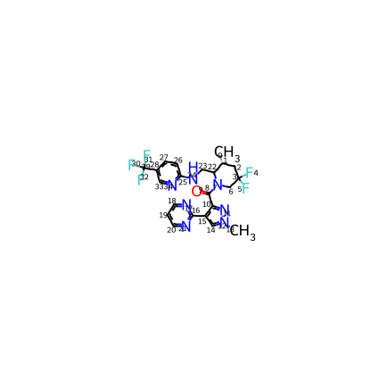 C[C@@H]1CC(F)(F)CN(C(=O)c2nn(C)cc2-c2ncccn2)C1CNc1ccc(C(F)(F)F)cn1